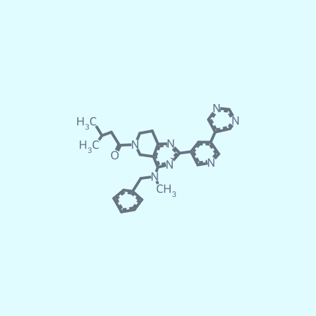 CC(C)CC(=O)N1CCc2nc(-c3cncc(-c4cncnc4)c3)nc(N(C)Cc3ccccc3)c2C1